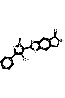 Cn1nc(-c2ccccc2)c(O)c1-c1nc2cc3c(cc2[nH]1)CNC3=O